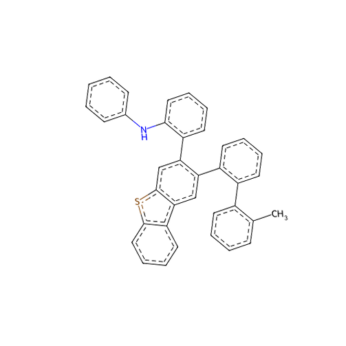 Cc1ccccc1-c1ccccc1-c1cc2c(cc1-c1ccccc1Nc1ccccc1)sc1ccccc12